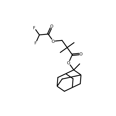 CC(C)(COC(=O)C(F)F)C(=O)OC1(C)C2CC3CC(C2)CC1C3